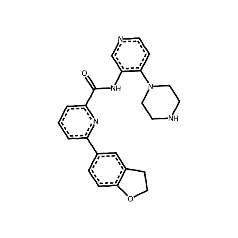 O=C(Nc1cnccc1N1CCNCC1)c1cccc(-c2ccc3c(c2)CCO3)n1